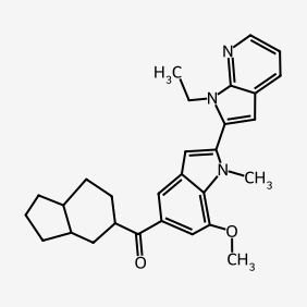 CCn1c(-c2cc3cc(C(=O)C4CCC5CCCC5C4)cc(OC)c3n2C)cc2cccnc21